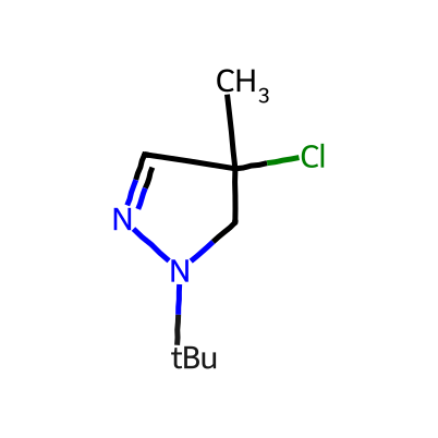 CC1(Cl)C=NN(C(C)(C)C)C1